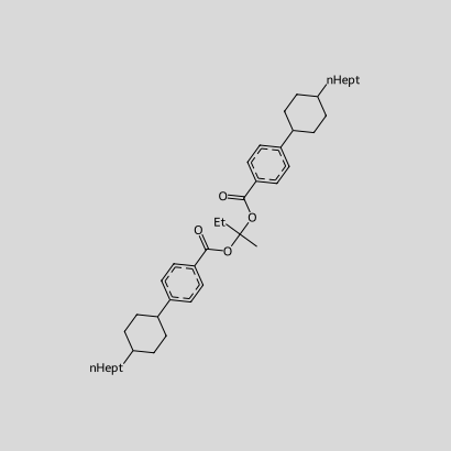 CCCCCCCC1CCC(c2ccc(C(=O)OC(C)(CC)OC(=O)c3ccc(C4CCC(CCCCCCC)CC4)cc3)cc2)CC1